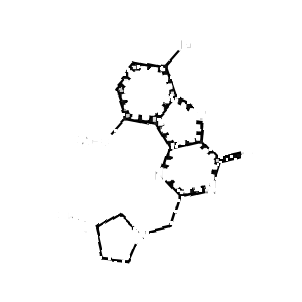 COc1ccc(Br)c2oc3c(=O)[nH]c(CN4CC[C@H](O)C4)nc3c12